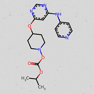 CC(C)OC(=O)ON1CCC(Oc2cc(Nc3ccncc3)ncn2)CC1